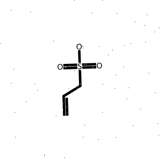 C=CCS([O])(=O)=O